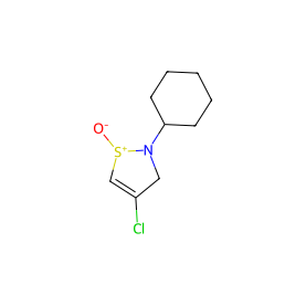 [O-][S+]1C=C(Cl)CN1C1CCCCC1